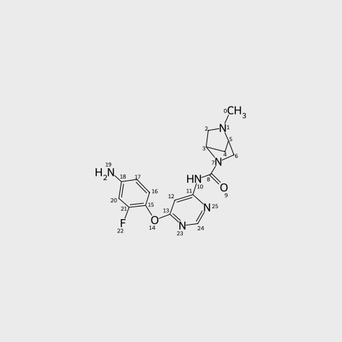 CN1CC2CC1CN2C(=O)Nc1cc(Oc2ccc(N)cc2F)ncn1